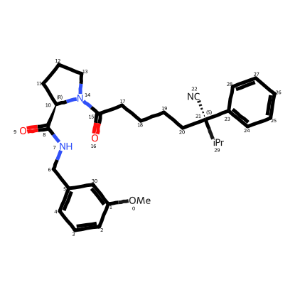 COc1cccc(CNC(=O)[C@H]2CCCN2C(=O)CCCC[C@@](C#N)(c2ccccc2)C(C)C)c1